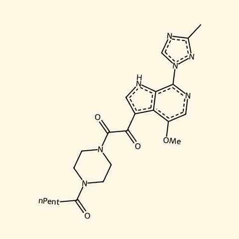 CCCCCC(=O)N1CCN(C(=O)C(=O)c2c[nH]c3c(-n4cnc(C)n4)ncc(OC)c23)CC1